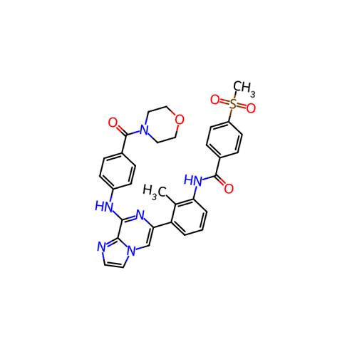 Cc1c(NC(=O)c2ccc(S(C)(=O)=O)cc2)cccc1-c1cn2ccnc2c(Nc2ccc(C(=O)N3CCOCC3)cc2)n1